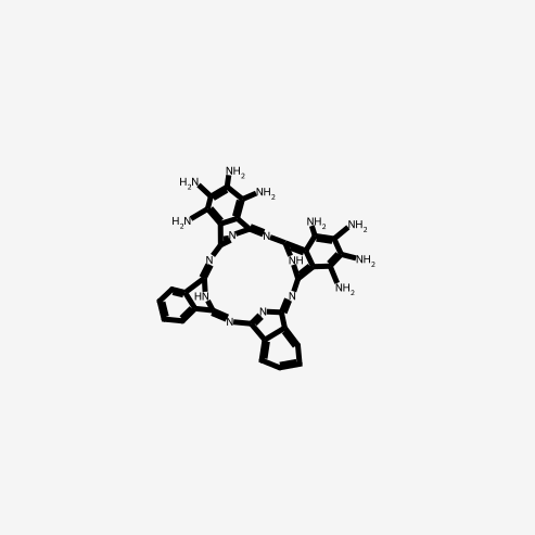 Nc1c(N)c(N)c2c(c1N)-c1nc-2nc2[nH]c(nc3nc(nc4[nH]c(n1)c1ccccc41)-c1ccccc1-3)c1c(N)c(N)c(N)c(N)c21